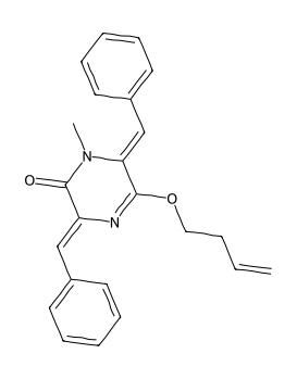 C=CCCOc1n/c(=C\c2ccccc2)c(=O)n(C)/c1=C\c1ccccc1